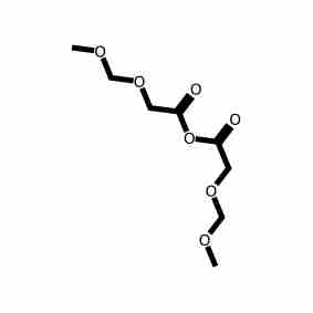 COCOCC(=O)OC(=O)COCOC